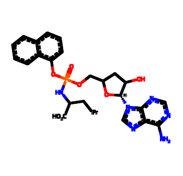 CC(C)CC(NP(=O)(OCC1CC(O)[C@H](n2cnc3c(N)ncnc32)O1)Oc1cccc2ccccc12)C(=O)O